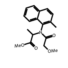 COCC(=O)N(c1c(C)ccc2ccccc12)C(C)C(=O)OC